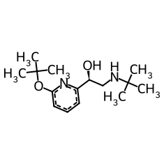 CC(C)(C)NC[C@H](O)c1cccc(OC(C)(C)C)n1